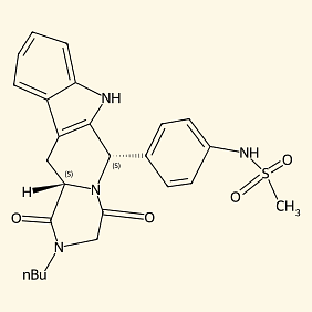 CCCCN1CC(=O)N2[C@@H](c3ccc(NS(C)(=O)=O)cc3)c3[nH]c4ccccc4c3C[C@H]2C1=O